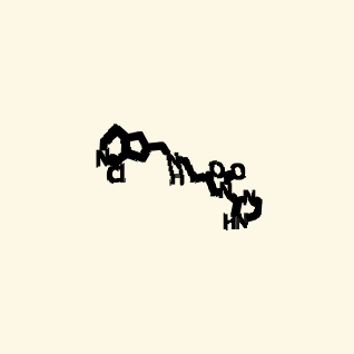 O=C1OC(CCNCC2Cc3ccnc(Cl)c3C2)CN1C1=CNCC=N1